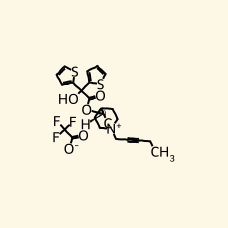 CCC#CC[N+]12CCC(CC1)[C@@H](OC(=O)C(O)(c1cccs1)c1cccs1)C2.O=C([O-])C(F)(F)F